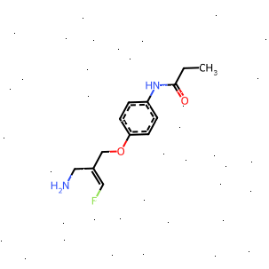 CCC(=O)Nc1ccc(OCC(=CF)CN)cc1